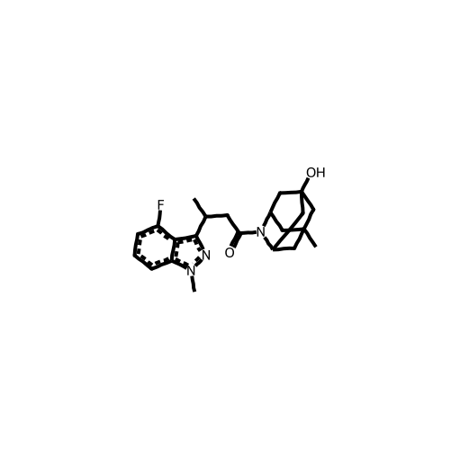 CC(CC(=O)N1C2CC3(C)CC1CC(O)(C2)C3)c1nn(C)c2cccc(F)c12